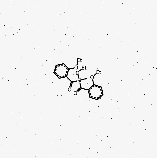 CCOc1ccccc1C(=O)[Si](C)(OCC)C(=O)c1ccccc1OCC